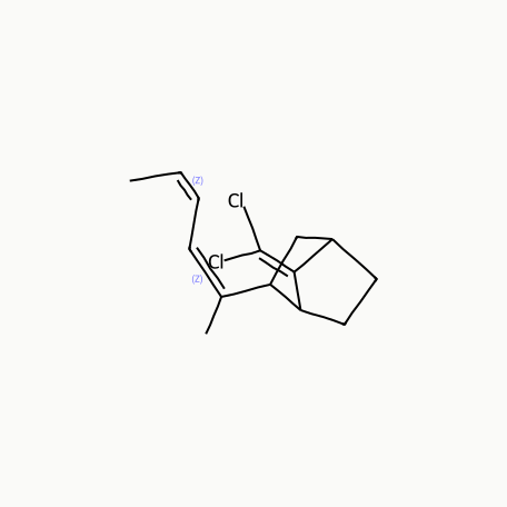 C/C=C\C=C(\C)C1CC2CCC1C2=C(Cl)Cl